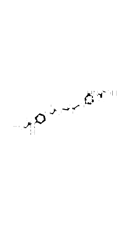 O=C(CO)Nc1ccc(OCC(=O)OCCOC(=O)COc2ccc(NC(=O)CO)cc2)cc1